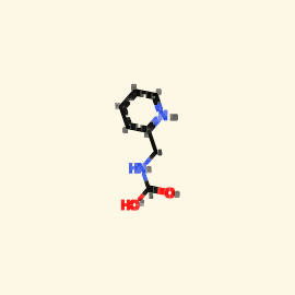 O=C(O)NCc1ccccn1